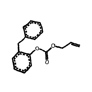 C=CCOC(=O)Oc1ccccc1Cc1ccccc1